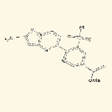 CCS(=O)(=O)c1cc(C(=O)OC)cnc1-c1ccn2nc(C(F)(F)F)cc2n1